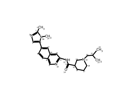 Cc1ncc(-c2ccc3cnc(NC(=O)C4CCCN(CC(C)C)C4)cc3c2)n1C